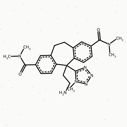 CN(C)C(=O)c1ccc2c(c1)CCc1cc(C(=O)N(C)C)ccc1C2(CCN)c1nnnn1C